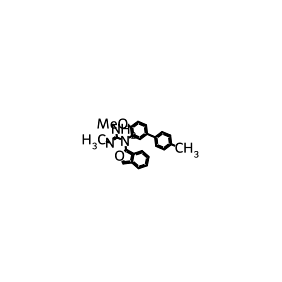 CN=C(N)N(c1cc(-c2ccc(C)cc2)ccc1OC)c1occ2ccccc12